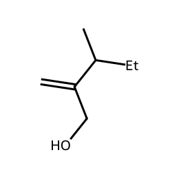 C=C(CO)C(C)CC